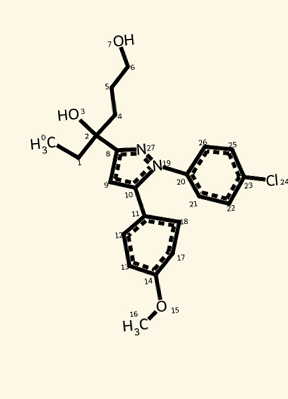 CCC(O)(CCCO)c1cc(-c2ccc(OC)cc2)n(-c2ccc(Cl)cc2)n1